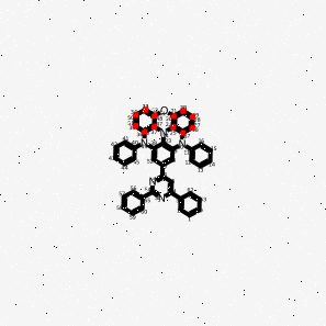 c1ccc(-c2cc(-c3cc(N(c4ccccc4)c4ccccc4)c(N4c5ccccc5Oc5ccccc54)c(N(c4ccccc4)c4ccccc4)c3)nc(-c3ccccc3)n2)cc1